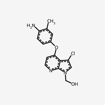 Cc1cc(Oc2ccnc3c2c(Cl)cn3CO)ccc1N